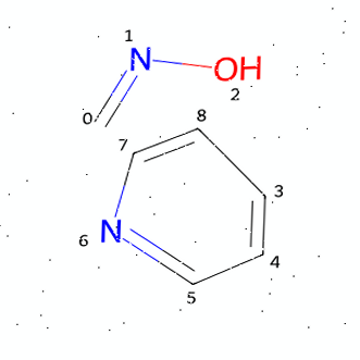 C=NO.c1ccncc1